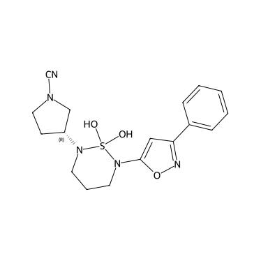 N#CN1CC[C@@H](N2CCCN(c3cc(-c4ccccc4)no3)S2(O)O)C1